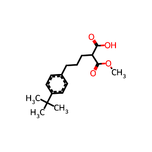 COC(=O)C(CCCc1ccc(C(C)(C)C)cc1)C(=O)O